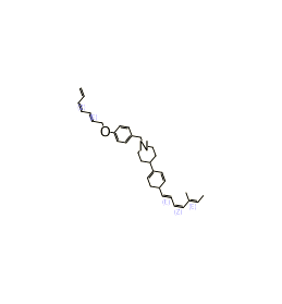 C=C/C=C\C=C\COc1ccc(CN2CCC(C3=CCC(/C=C/C=C\C(C)=C\C)C=C3)CC2)cc1